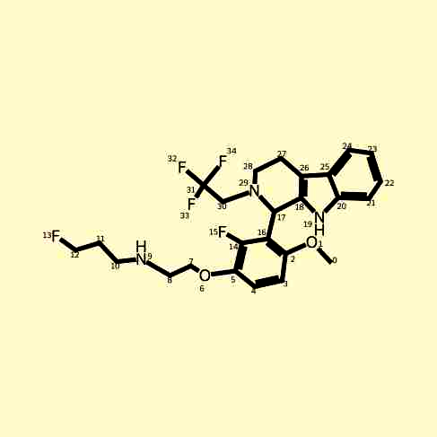 COc1ccc(OCCNCCCF)c(F)c1C1c2[nH]c3ccccc3c2CCN1CC(F)(F)F